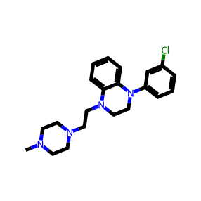 CN1CCN(CCN2CCN(c3cccc(Cl)c3)c3ccccc32)CC1